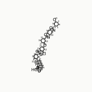 COc1cccc(-c2nc3cc4nc(-c5cccc(Oc6ccc(S(=O)(=O)c7ccc(C)c(C(F)(F)C(F)(F)C(F)(F)C(F)(F)S(=O)(=O)O)c7)c(Cl)c6)c5)oc4cc3o2)c1